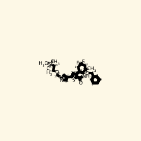 CC1(OCc2ccccc2)CC(F)(F)Cc2c1[nH]c(=O)c1sc(-c3cnn(COCC[Si](C)(C)C)c3)cc21